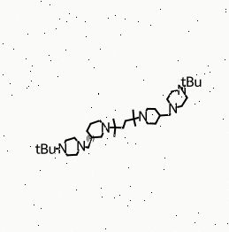 CC(C)(C)N1CCN(CC2CCN(C(C)(C)CCC(C)(C)N3CCC[C@H](CN4CCN(C(C)(C)C)CC4)C3)CC2)CC1